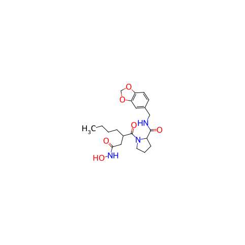 CCCCC(CC(=O)NO)C(=O)N1CCCC1C(=O)NCc1ccc2c(c1)OCO2